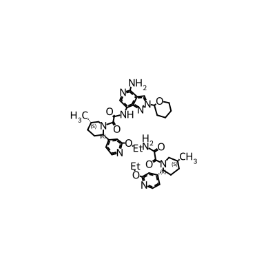 CCOc1cc([C@H]2CC[C@H](C)CN2C(=O)C(=O)Nc2cnc(N)c3cn(C4CCCCO4)nc23)ccn1.CCOc1cc([C@H]2CC[C@H](C)CN2C(=O)C(N)=O)ccn1